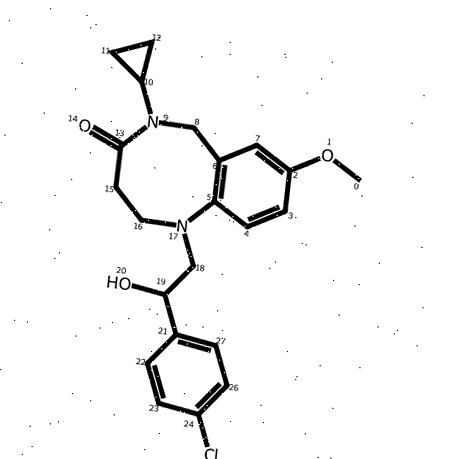 COc1ccc2c(c1)CN(C1CC1)C(=O)CCN2CC(O)c1ccc(Cl)cc1